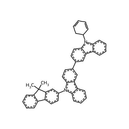 CC1(C)c2ccccc2-c2ccc(-n3c4ccccc4c4cc(-c5ccc6c(c5)c5ccccc5n6C5C=CC=CC5)ccc43)cc21